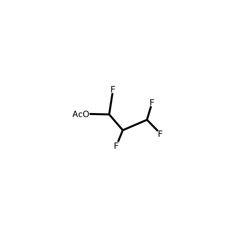 CC(=O)OC(F)C(F)C(F)F